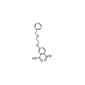 O=C(O)c1cc(OCCOCc2ccccc2)ccc1[N+](=O)[O-]